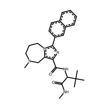 CNC(=O)C(NC(=O)c1nc(-c2ccc3ccccc3c2)n2c1CN(C)CCC2)C(C)(C)C